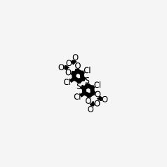 O=c1oc(=O)oc2c(Cl)c3sc4c(Cl)c5oc(=O)oc(=O)oc5c(Cl)c4sc3c(Cl)c2o1